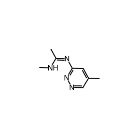 CN/C(C)=N\c1cc(C)cnn1